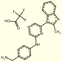 Cc1nc2ccccc2n1-c1cncc(Nc2ccc(CN)cc2)n1.O=C(O)C(F)(F)F